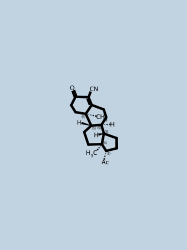 CC(=O)[C@H]1CC[C@H]2[C@@H]3CCC4=C(C#N)C(=O)CC[C@]4(C)[C@H]3CC[C@]12C